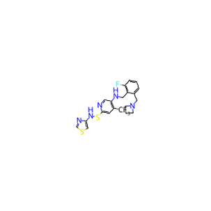 Fc1cccc(CN2CCC2)c1CNc1cnc(SNc2cscn2)cc1C(F)(F)F